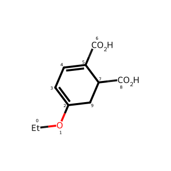 CCOC1=CC=C(C(=O)O)C(C(=O)O)C1